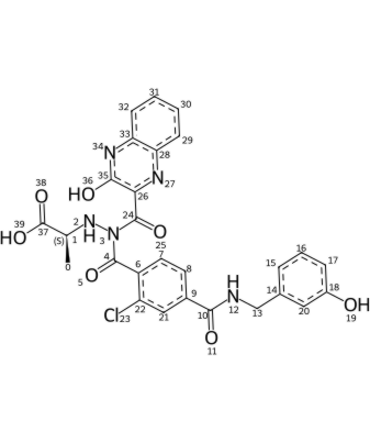 C[C@H](NN(C(=O)c1ccc(C(=O)NCc2cccc(O)c2)cc1Cl)C(=O)c1nc2ccccc2nc1O)C(=O)O